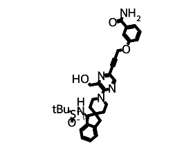 CC(C)(C)[S+]([O-])N[C@@H]1c2ccccc2CC12CCN(c1ncc(C#CCOc3cccc(C(N)=O)c3)nc1CO)CC2